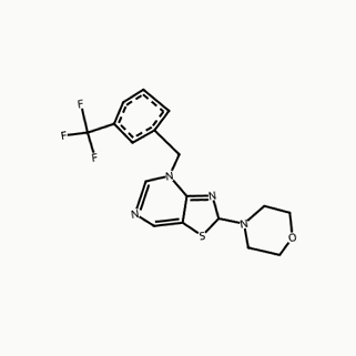 FC(F)(F)c1cccc(CN2C=NC=C3SC(N4CCOCC4)N=C32)c1